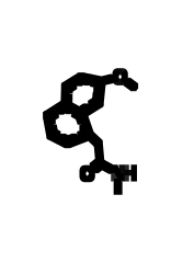 CNC(=O)Cc1cccc2ccc(OC)cc12